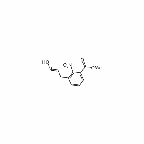 COC(=O)c1cccc(CC=NO)c1[N+](=O)[O-]